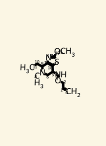 C=CCONC1CN(C)C(CC)c2nc(OC)sc21